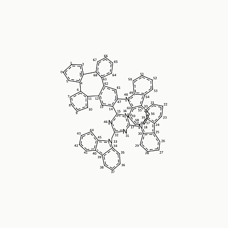 c1ccc2c(c1)-c1ccccc1-c1cc(-c3nc(-n4c5ccccc5c5ccccc54)nc(-n4c5ccccc5c5ccccc54)n3)c(-n3c4ccccc4c4ccccc43)cc1-c1ccccc1-2